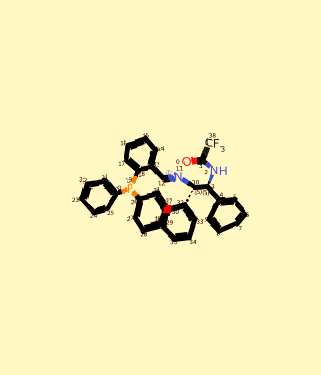 O=C(N[C@@H](c1ccccc1)[C@@H](/N=C/c1ccccc1P(c1ccccc1)c1ccccc1)c1ccccc1)C(F)(F)F